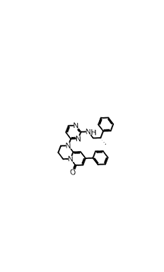 C[C@H](CNc1nccc(N2CCCn3c2cc(-c2ccccc2)cc3=O)n1)c1ccccc1